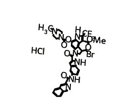 COC(=O)c1c(C(F)(F)F)[nH]c2c(OC(=O)N3CCN(C)CC3)cc3c(c12)C(CBr)CN3C(=O)c1cc2cc(NC(=O)c3cc4ccccc4cn3)ccc2[nH]1.Cl